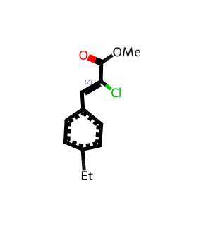 CCc1ccc(/C=C(\Cl)C(=O)OC)cc1